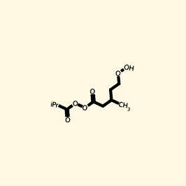 CC(CCOO)CC(=O)OOC(=O)C(C)C